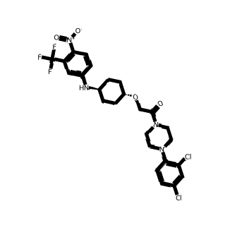 O=C(CO[C@H]1CC[C@H](Nc2ccc([N+](=O)[O-])c(C(F)(F)F)c2)CC1)N1CCN(c2ccc(Cl)cc2Cl)CC1